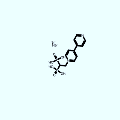 Br.O=P(O)(O)C(C[n+]1ccc(-c2ccncc2)cc1)P(=O)(O)O.[Br-]